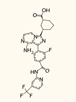 Nc1nccn2c([C@@H]3CCC[C@H](C(=O)O)C3)nc(-c3ccc(C(=O)Nc4cc(C(F)(F)F)ccn4)cc3F)c12